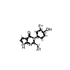 CCSc1nc2[nH]ccc2c(=O)n1-c1ccc(O)c(F)c1